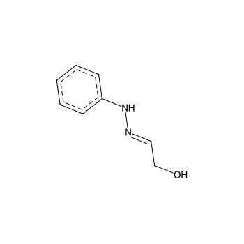 OCC=NNc1ccccc1